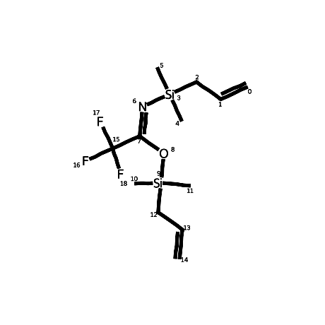 C=CC[Si](C)(C)N=C(O[Si](C)(C)CC=C)C(F)(F)F